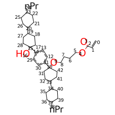 C=CC(=O)OCCCCOC1(c2ccc(C3(O)CCC(C4CCC(CCC)CC4)CC3)cc2)CCC(C2CCC(CCC)CC2)CC1